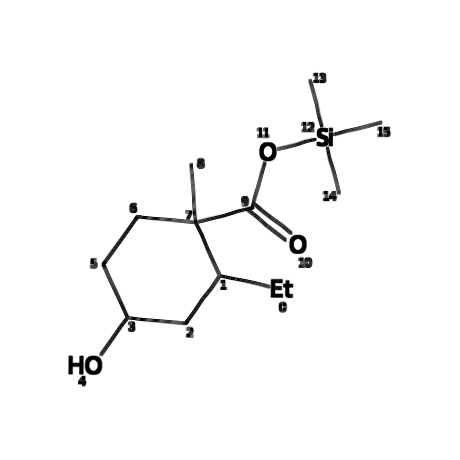 CCC1CC(O)CCC1(C)C(=O)O[Si](C)(C)C